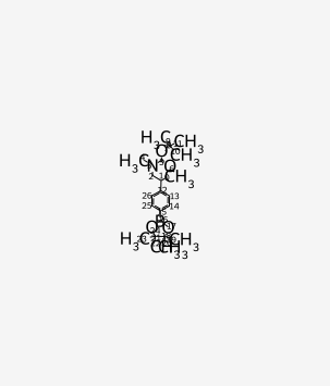 CC(CN(C)C(=O)OC(C)(C)C)c1ccc(B2OC(C)(C)C(C)(C)O2)cc1